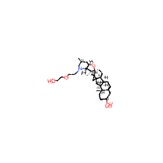 C[C@H]1C[C@H]2O[C@]3(CC[C@H]4[C@@H]5CC=C6C[C@@H](O)CC[C@]6(C)[C@H]5CC45CC53C)[C@H](C)[C@@H]2N(CCOCCO)C1